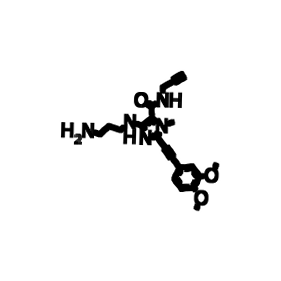 C#CCNC(=O)c1c(NCCCN)nc(C#Cc2ccc(OC)c(OC)c2)n1C